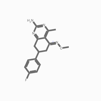 CO/N=C1\CC(c2ccc(F)cc2)Cc2nc(N)nc(C)c21